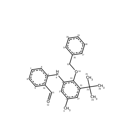 Cc1cc(Pc2ccccc2C=O)c(OCc2ccccc2)c(C(C)(C)C)c1